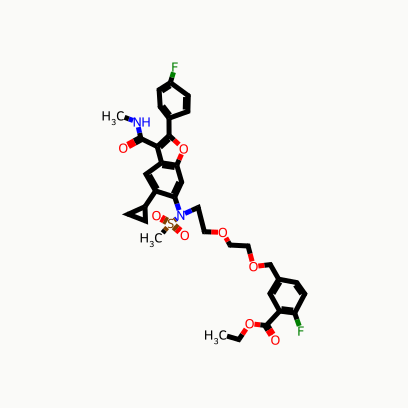 CCOC(=O)c1cc(COCCOCCN(c2cc3oc(-c4ccc(F)cc4)c(C(=O)NC)c3cc2C2CC2)S(C)(=O)=O)ccc1F